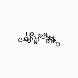 O=C(OCc1ccccc1)Oc1cc2nccc(Oc3ccc(NC(=O)c4csc(-c5ccccc5)n4)nc3)c2cc1O